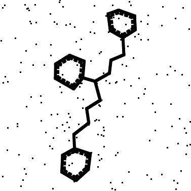 [CH](CCCc1ccccc1)C(CCCc1ccccc1)c1ccccc1